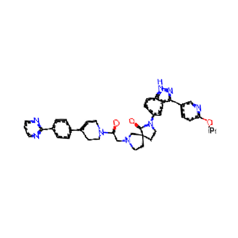 CC(C)Oc1ccc(-c2n[nH]c3ccc(N4CCC5(CCN(CC(=O)N6CC=C(c7ccc(-c8ncccn8)cc7)CC6)C5)C4=O)cc23)cn1